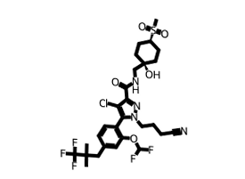 CC(C)(Cc1ccc(-c2c(Cl)c(C(=O)NC[C@]3(O)CC[C@@H](S(C)(=O)=O)CC3)nn2CCCC#N)c(OC(F)F)c1)C(F)(F)F